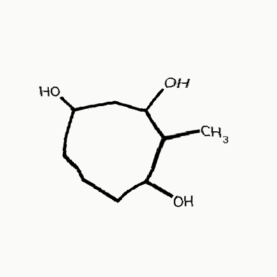 CC1C(O)CCCC(O)CC1O